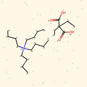 CCC(CC)(C(=O)O)C(=O)O.CCCC[N+](CCCC)(CCCC)CCCC